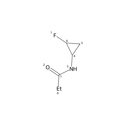 CCC(=O)NC1CC1F